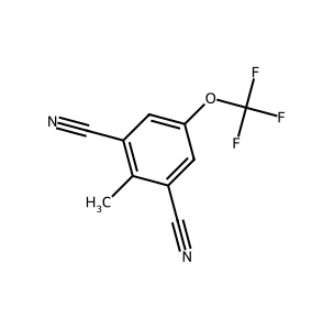 Cc1c(C#N)cc(OC(F)(F)F)cc1C#N